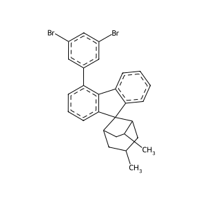 CC1CC2CC(C)C(C1)C21c2ccccc2-c2c(-c3cc(Br)cc(Br)c3)cccc21